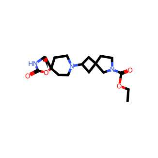 CCOC(=O)N1CCC2(CC(N3CCC4(CC3)OC(=O)NC43CCC3)C2)C1